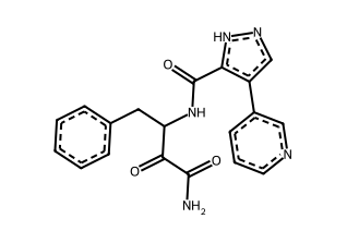 NC(=O)C(=O)C(Cc1ccccc1)NC(=O)c1[nH]ncc1-c1cccnc1